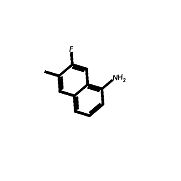 Cc1cc2cccc(N)c2cc1F